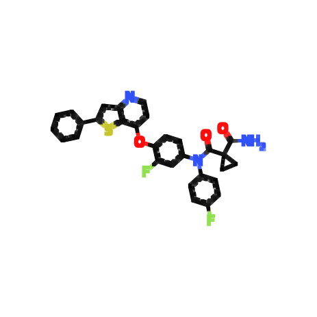 NC(=O)C1(C(=O)N(c2ccc(F)cc2)c2ccc(Oc3ccnc4cc(-c5ccccc5)sc34)c(F)c2)CC1